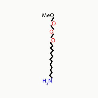 COCCOCCOCCOCCCCCCCCCCCCCCN